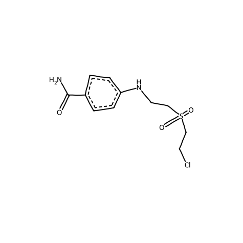 NC(=O)c1ccc(NCCS(=O)(=O)CCCl)cc1